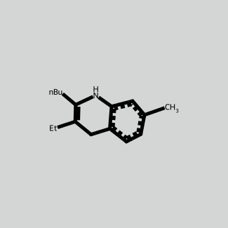 CCCCC1=C(CC)Cc2ccc(C)cc2N1